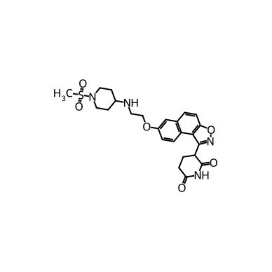 CS(=O)(=O)N1CCC(NCCOc2ccc3c(ccc4onc(C5CCC(=O)NC5=O)c43)c2)CC1